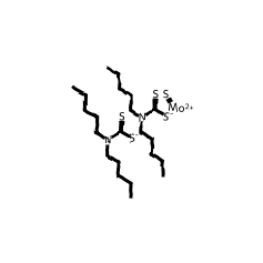 CCCCCN(CCCCC)C(=S)[S-].CCCCCN(CCCCC)C(=S)[S-].[S]=[Mo+2]